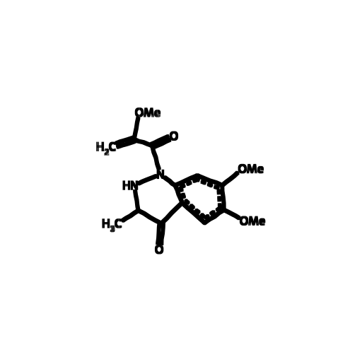 C=C(OC)C(=O)N1NC(C)C(=O)c2cc(OC)c(OC)cc21